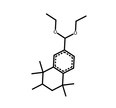 CCOC(OCC)c1ccc2c(c1)C(C)(C)C(C)CC2(C)C